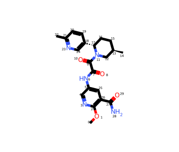 COc1ncc(NC(=O)C(=O)N2C[C@H](C)CC[C@H]2c2ccc(C)nc2)cc1C(N)=O